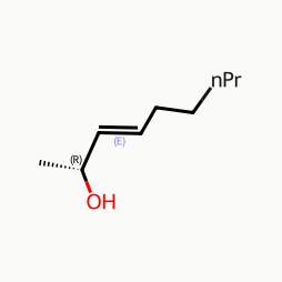 CCCCC/C=C/[C@@H](C)O